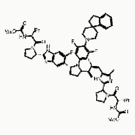 C=C(/C(F)=C\c1[nH]c([C@@H]2CCCN2C(=O)[C@@H](NC(=O)OC)C(C)C)nc1C)[C@H]1CC[C@H](c2cc3nc([C@@H]4CCCN4C(=O)[C@@H](NC(=O)OC)C(C)C)[nH]c3cc2F)N1c1cc(F)c(N2CCC3(CCc4ccccc43)CC2)c(F)c1